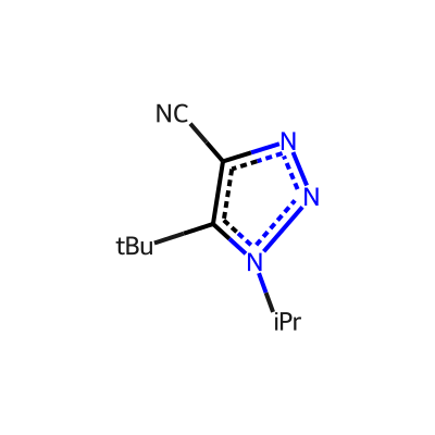 CC(C)n1nnc(C#N)c1C(C)(C)C